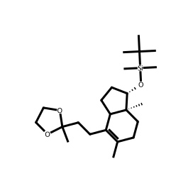 CC1=C(CCC2(C)OCCO2)C2CC[C@H](O[Si](C)(C)C(C)(C)C)[C@@]2(C)CC1